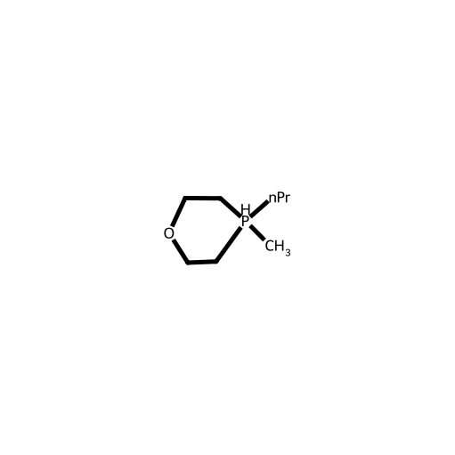 CCC[PH]1(C)CCOCC1